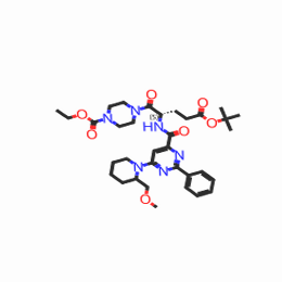 CCOC(=O)N1CCN(C(=O)[C@H](CCC(=O)OC(C)(C)C)NC(=O)c2cc(N3CCCCC3COC)nc(-c3ccccc3)n2)CC1